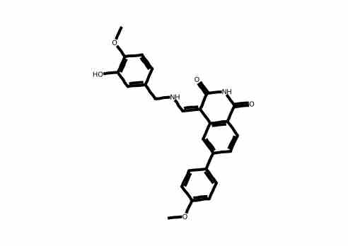 COc1ccc(-c2ccc3c(c2)/C(=C/NCc2ccc(OC)c(O)c2)C(=O)NC3=O)cc1